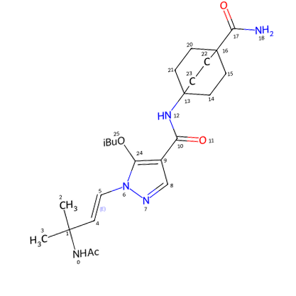 CC(=O)NC(C)(C)/C=C/n1ncc(C(=O)NC23CCC(C(N)=O)(CC2)CC3)c1OCC(C)C